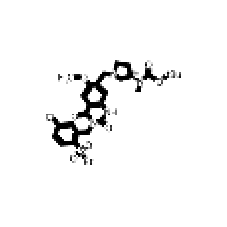 CCS(=O)(=O)c1ccc(Cl)cc1Cn1c(=O)[nH]c2cc(CN3CC[C@@H](N(C)C(=O)OC(C)(C)C)C3)c(OC(F)(F)F)cc2c1=O